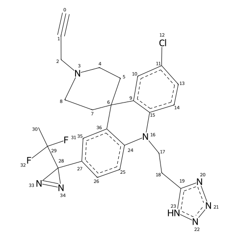 C#CCN1CCC2(CC1)c1cc(Cl)ccc1N(CCc1nnn[nH]1)c1ccc(C3(C(C)(F)F)N=N3)cc12